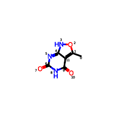 Cc1o[nH]c2nc(=O)[nH]c(=O)c1-2